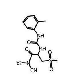 CCN(C#N)C(=O)C(CS(C)(=O)=O)NC(=O)Nc1ccccc1C